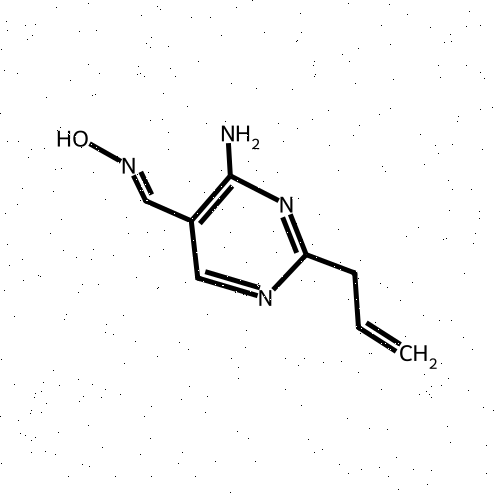 C=CCc1ncc(C=NO)c(N)n1